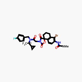 CNC(=O)Nc1ccc2c(c1Br)CCCC21OC(=O)N(CC(=O)N(Cc2ccc(F)cc2)[C@@H](C2CC2)C(F)(F)F)C1=O